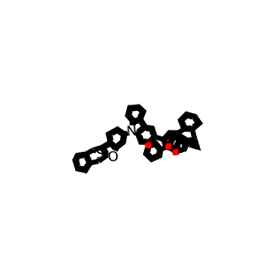 c1ccc(-c2ccc(C34CC3c3ccc(-c5ccc6c(c5)c5ccccc5n6-c5ccc6c7c(oc6c5)C5SC7c6ccccc65)cc3-c3ccccc34)cc2)cc1